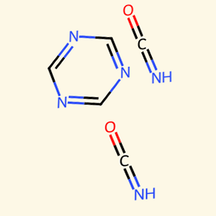 N=C=O.N=C=O.c1ncncn1